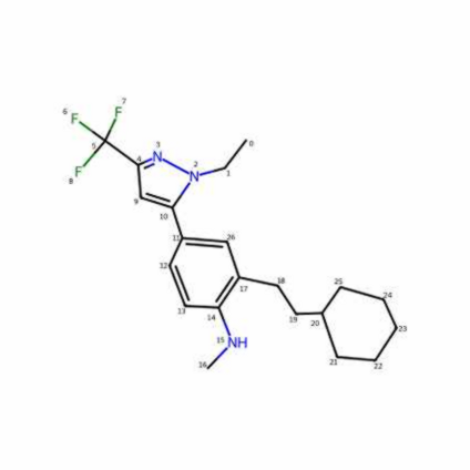 CCn1nc(C(F)(F)F)cc1-c1ccc(NC)c(CCC2CCCCC2)c1